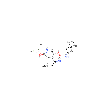 COC[C@H](NC(=O)NC1CC2(CCC2)C1)c1ccnc(OC(F)F)c1